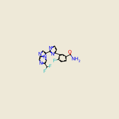 NC(=O)c1ccc(F)c(-c2ccnc(-c3cnc4cnc(C(F)F)cn34)n2)c1